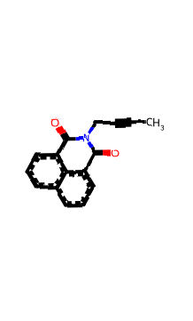 CC#CCN1C(=O)c2cccc3cccc(c23)C1=O